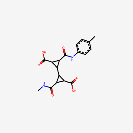 CNC(=O)C1C(C(=O)O)C1C1C(C(=O)O)C1C(=O)Nc1ccc(C)cc1